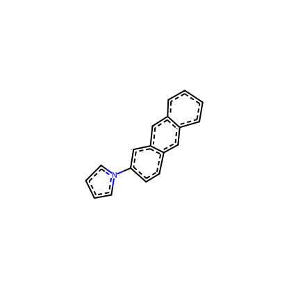 [c]1c(-n2cccc2)ccc2cc3ccccc3cc12